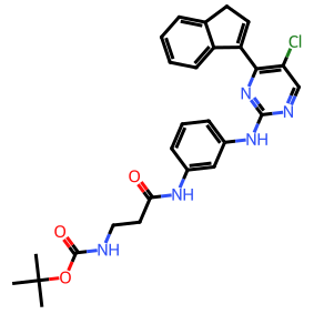 CC(C)(C)OC(=O)NCCC(=O)Nc1cccc(Nc2ncc(Cl)c(C3=CCc4ccccc43)n2)c1